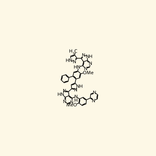 COc1ccc(-c2cnccn2)cc1Nc1ncnc2[nH]nc(-c3cc(-c4cc(OC)c(Nc5ncnc6[nH]nc(-c7n[nH]cc7C)c56)cc4-c4ccccc4)[nH]n3)c12